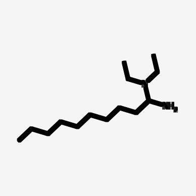 CCCCCCCCCC(N)N(CC)CC